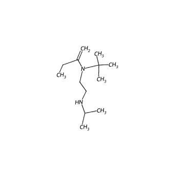 C=C(CC)N(CCNC(C)C)C(C)(C)C